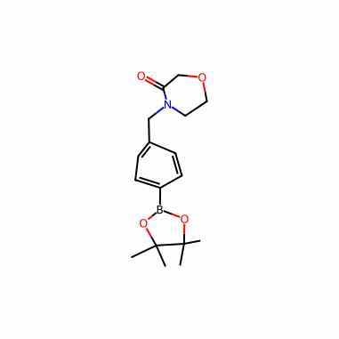 CC1(C)OB(c2ccc(CN3CCOCC3=O)cc2)OC1(C)C